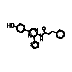 O=C(CCc1ccccc1)Nc1ncc(-c2ccc(O)cc2)nc1-c1cccs1